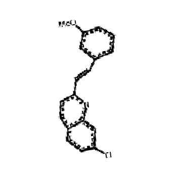 COc1cccc(C=Cc2ccc3ccc(Cl)cc3n2)c1